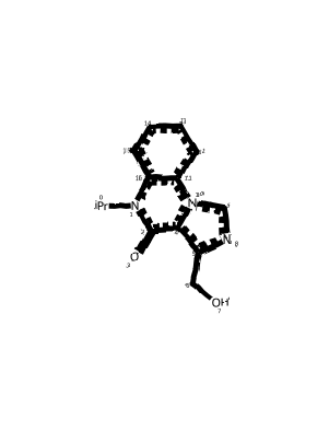 CC(C)n1c(=O)c2c(CO)ncn2c2ccccc21